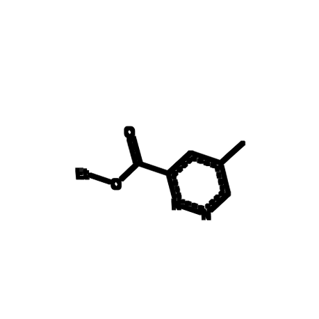 CCOC(=O)c1cc(C)cnn1